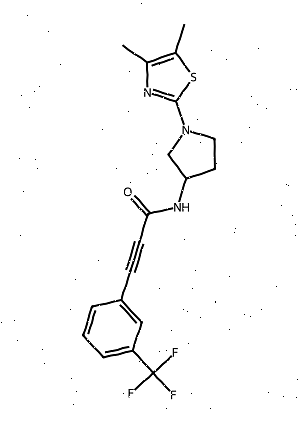 Cc1nc(N2CCC(NC(=O)C#Cc3cccc(C(F)(F)F)c3)C2)sc1C